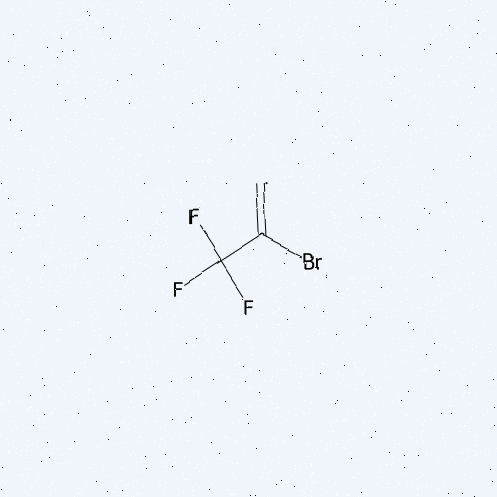 [CH]=C(Br)C(F)(F)F